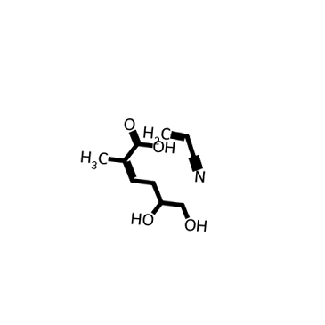 C=CC#N.CC(=CCC(O)CO)C(=O)O